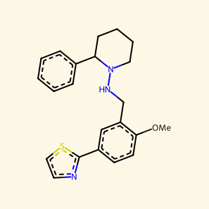 COc1ccc(-c2nccs2)cc1CNN1CCCCC1c1ccccc1